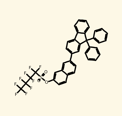 O=S(=O)(Oc1ccc2ccc(-c3ccc4c(c3)C(c3ccccc3)(c3ccccc3)c3ccccc3-4)cc2c1)C(F)(F)C(F)(F)C(F)(F)C(F)(F)F